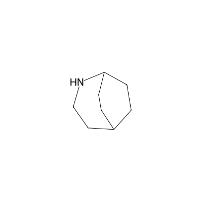 C1CC2CCC(CC2)N1